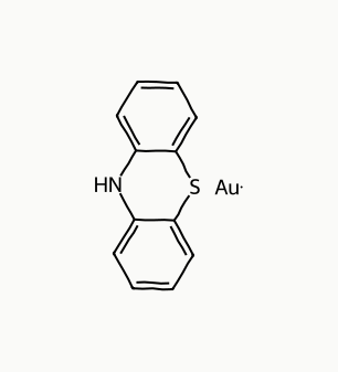 [Au].c1ccc2c(c1)Nc1ccccc1S2